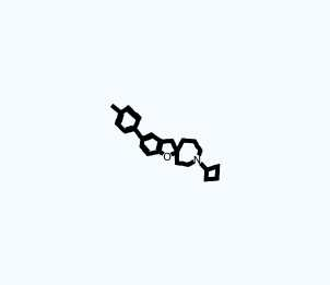 Cc1ccc(-c2ccc3c(c2)CC2(CCCN(C4CCC4)CC2)O3)cc1